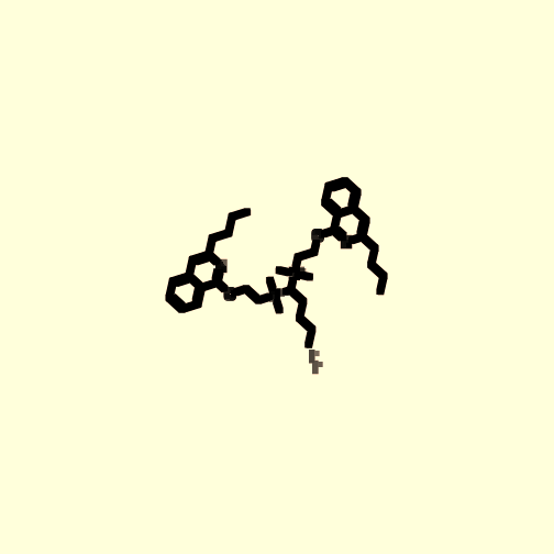 CCCCc1cc2ccccc2c(OCC[N+](C)(C)C(CCCC)[N+](C)(C)CCOc2nc(CCCC)cc3ccccc23)n1.[I-].[I-]